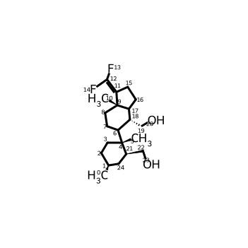 C[C@H]1CC[C@](C)(C2CC[C@]3(C)C(=C(F)F)CCC3[C@@H]2CO)[C@@H](CO)C1